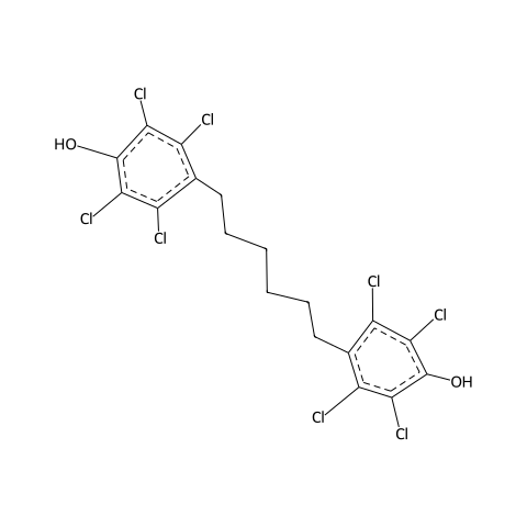 Oc1c(Cl)c(Cl)c(CCCCCCc2c(Cl)c(Cl)c(O)c(Cl)c2Cl)c(Cl)c1Cl